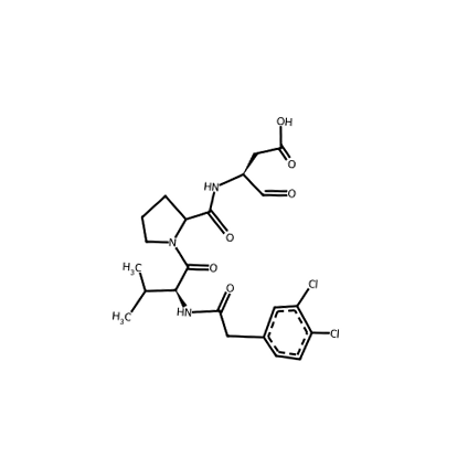 CC(C)[C@H](NC(=O)Cc1ccc(Cl)c(Cl)c1)C(=O)N1CCCC1C(=O)N[C@H](C=O)CC(=O)O